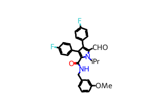 COc1cccc(CNC(=O)c2c(-c3ccc(F)cc3)c(-c3ccc(F)cc3)c(C=O)n2C(C)C)c1